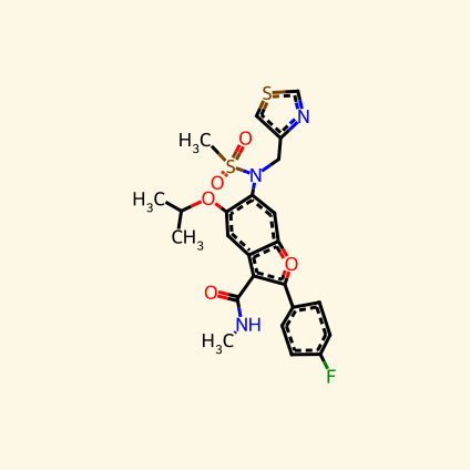 CNC(=O)c1c(-c2ccc(F)cc2)oc2cc(N(Cc3cscn3)S(C)(=O)=O)c(OC(C)C)cc12